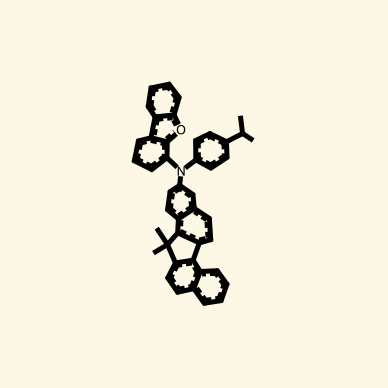 CC(C)c1ccc(N(c2ccc3c4c(ccc3c2)-c2c(ccc3ccccc23)C4(C)C)c2cccc3c2oc2ccccc23)cc1